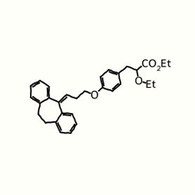 CCOC(=O)C(Cc1ccc(OCCC=C2c3ccccc3CCc3ccccc32)cc1)OCC